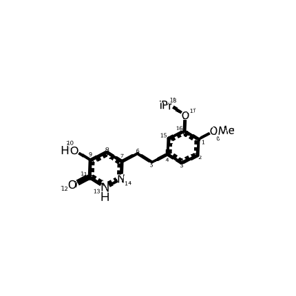 COc1ccc(CCc2cc(O)c(=O)[nH]n2)cc1OC(C)C